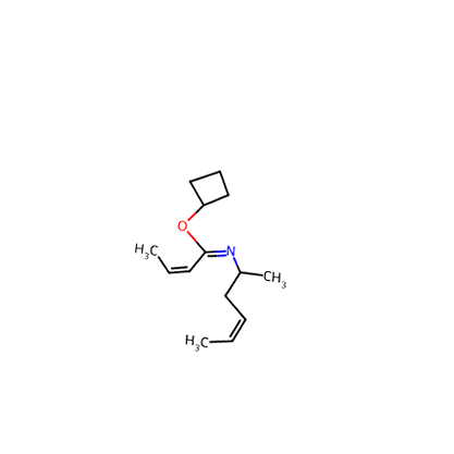 C/C=C\CC(C)/N=C(\C=C/C)OC1CCC1